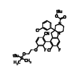 CC(C)(C)OC(=O)N1CCN2c3cc(F)c(Cl)c(-c4c(C#N)ccc(OCCO[Si](C)(C)C(C)(C)C)c4F)c3CC2(c2cccc(Cl)c2)C1